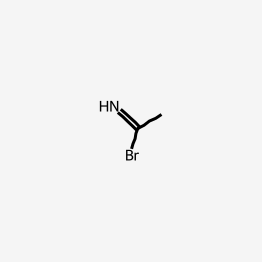 CC(=N)Br